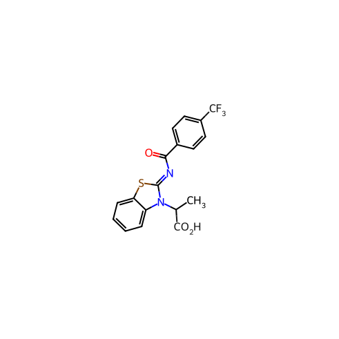 CC(C(=O)O)n1/c(=N/C(=O)c2ccc(C(F)(F)F)cc2)sc2ccccc21